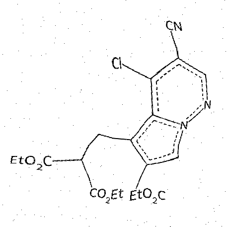 CCOC(=O)c1cn2ncc(C#N)c(Cl)c2c1CC(C(=O)OCC)C(=O)OCC